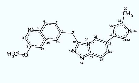 COc1cnc2ccc(Cc3nnc4ccc(-c5cc(C)ns5)cn34)cc2c1